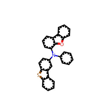 c1ccc(N(c2ccc3sc4ccccc4c3c2)c2cccc3c2oc2ccccc23)cc1